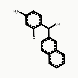 N#CC(c1ccc2ccccc2c1)c1ccc(N)cc1Cl